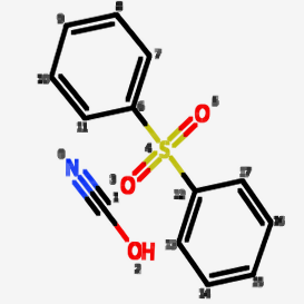 N#CO.O=S(=O)(c1ccccc1)c1ccccc1